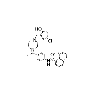 O=C(c1ccc(N[S+]([O-])c2cccc3cccnc23)cc1)N1CCCN(Cc2cc(Cl)ccc2O)CC1